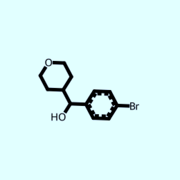 OC(c1ccc(Br)cc1)C1CCOCC1